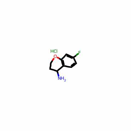 Cl.NC1CCOc2cc(F)ccc21